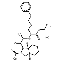 CCOC(=O)[C@H](CSCCc1ccccc1)N[C@H](C)C(=O)N1[C@@H]2CCCC[C@@H]2C[C@H]1C(=O)O.Cl